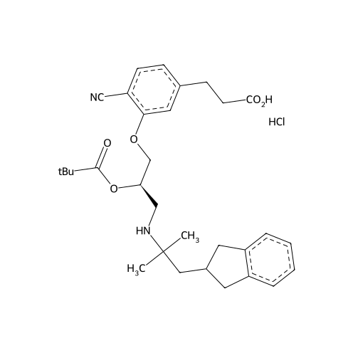 CC(C)(CC1Cc2ccccc2C1)NC[C@H](COc1cc(CCC(=O)O)ccc1C#N)OC(=O)C(C)(C)C.Cl